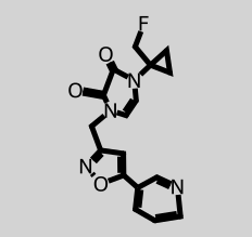 O=c1c(=O)n(C2(CF)CC2)ccn1Cc1cc(-c2cccnc2)on1